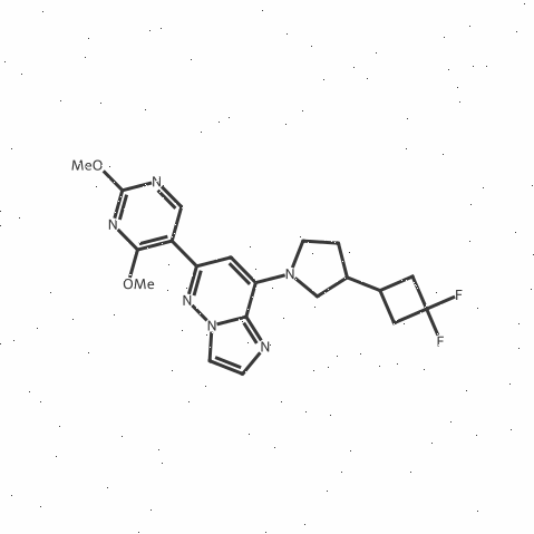 COc1ncc(-c2cc(N3CCC(C4CC(F)(F)C4)C3)c3nccn3n2)c(OC)n1